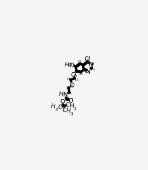 CC(C)(C)OC(=O)NCCOCCOc1cc2ncnc(Cl)c2cc1O